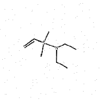 C=CS(C)(C)N(CC)CC